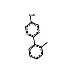 COc1cnc(-c2ccccc2C)nc1